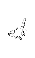 C[C@H](OCc1ccccc1)[C@@H](CCOc1ccc2ncccc2c1)n1cnc(C(N)=O)c1